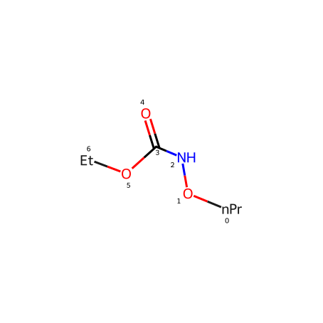 CCCONC(=O)OCC